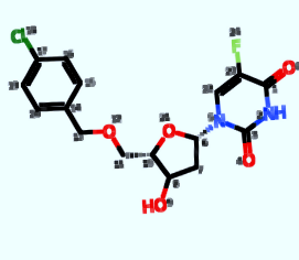 O=c1[nH]c(=O)n([C@@H]2CC(O)[C@H](COCc3ccc(Cl)cc3)O2)cc1F